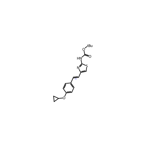 CC(C)(C)OC(=O)Nc1nc(/C=C/c2ccc(OC3CC3)cc2)cs1